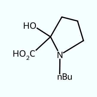 CCCCN1CCCC1(O)C(=O)O